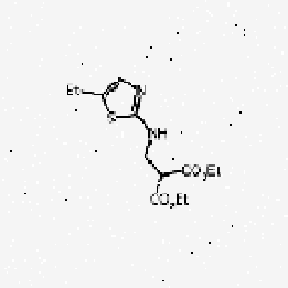 CCOC(=O)C(CNc1ncc(CC)s1)C(=O)OCC